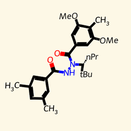 CCC[C@@H](N(NC(=O)c1cc(C)cc(C)c1)C(=O)c1cc(OC)c(C)c(OC)c1)C(C)(C)C